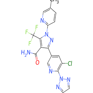 Cc1ccc(-n2nc(-c3cnc(-n4nccn4)c(Cl)c3)c(C(N)=O)c2C(F)(F)F)nc1